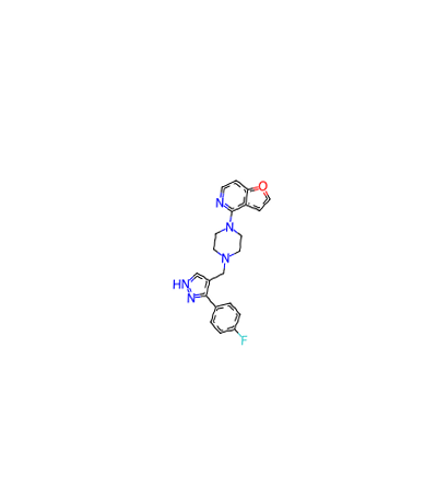 Fc1ccc(-c2n[nH]cc2CN2CCN(c3nccc4occc34)CC2)cc1